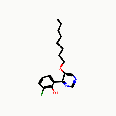 CCCCCCCCOc1cncnc1-c1cccc(F)c1O